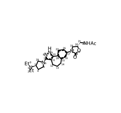 CCN(CC)[C@@H]1CCN(c2n[nH]c3c2CCCc2cc(N4C[C@H](CNC(C)=O)OC4=O)ccc2-3)C1